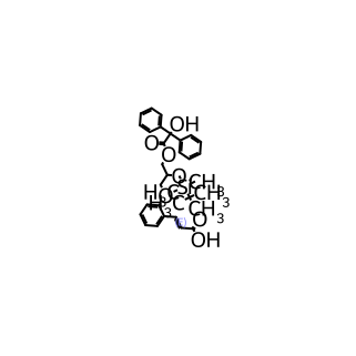 CC(C)(C)[Si](C)(C)OC(COC(=O)C(O)(c1ccccc1)c1ccccc1)COc1ccccc1/C=C/C(=O)O